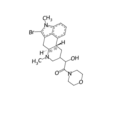 CN1CC(C(O)C(=O)N2CCOCC2)C[C@H]2c3cccc4c3c(c(Br)n4C)C[C@@H]21